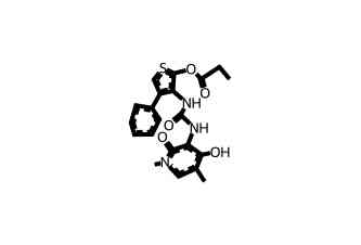 CCC(=O)Oc1scc(-c2ccccc2)c1NC(=O)Nc1c(O)c(C)cn(C)c1=O